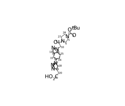 CC(C)(C)OC(=O)N1CCN(C(=O)Cn2ncc3cc(-n4cc(CC(=O)O)nn4)ccc32)CC1